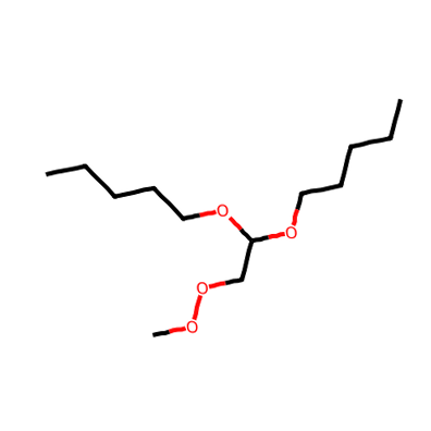 CCCCCOC(COOC)OCCCCC